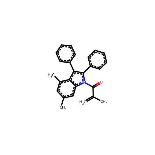 C=C(C)C(=O)n1c(-c2ccccc2)c(-c2ccccc2)c2c(C)cc(C)cc21